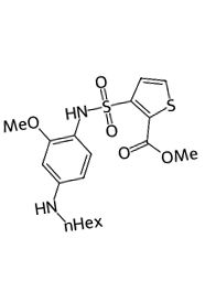 CCCCCCNc1ccc(NS(=O)(=O)c2ccsc2C(=O)OC)c(OC)c1